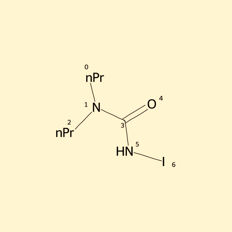 CCCN(CCC)C(=O)NI